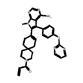 C=CC(=O)N1CCC2(CC=C(c3c(-c4ccc(Oc5ncccn5)cc4)c4c(N)ncnc4n3C)CC2)CC1